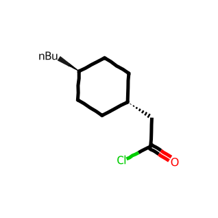 CCCC[C@H]1CC[C@H](CC(=O)Cl)CC1